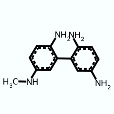 CNc1ccc(N)c(-c2cc(N)ccc2N)c1